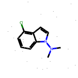 CN(C)n1ccc2c(Cl)cccc21